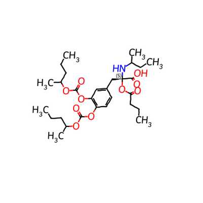 CCCC(=O)O[C@](Cc1ccc(OC(=O)OC(C)CCC)c(OC(=O)OC(C)CCC)c1)(NC(C)CC)C(=O)O